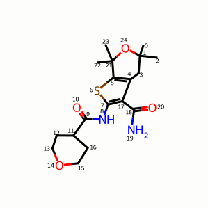 CC1(C)Cc2c(sc(NC(=O)C3CCOCC3)c2C(N)=O)C(C)(C)O1